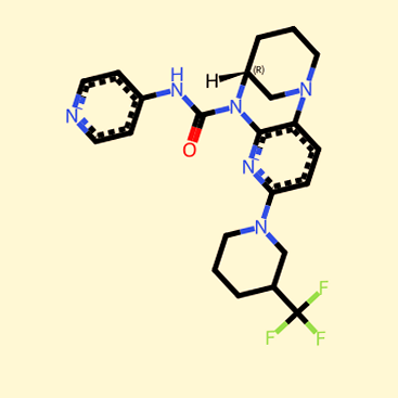 O=C(Nc1ccncc1)N1c2nc(N3CCCC(C(F)(F)F)C3)ccc2N2CCC[C@@H]1C2